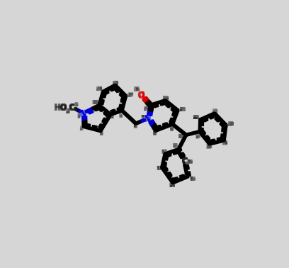 O=C(O)n1ccc2c(Cn3cc(C(c4ccccc4)c4ccccc4)ccc3=O)cccc21